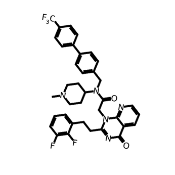 CN1CCC(N(Cc2ccc(-c3ccc(C(F)(F)F)cc3)cc2)C(=O)Cn2c(CCc3cccc(F)c3F)nc(=O)c3cccnc32)CC1